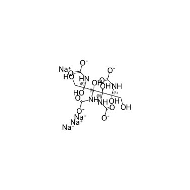 O=C([O-])N[C@](O)([C@@](O)(NC(=O)[O-])[C@](O)(CO)NC(=O)[O-])[C@](O)(CO)NC(=O)[O-].[Na+].[Na+].[Na+].[Na+]